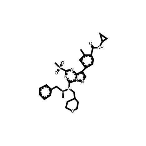 CB(Cc1ccccc1)N(CC1CCOCC1)c1nc(S(C)(=O)=O)nc2c(-c3ccc(C(=O)NC4CC4)c(C)c3)cnn12